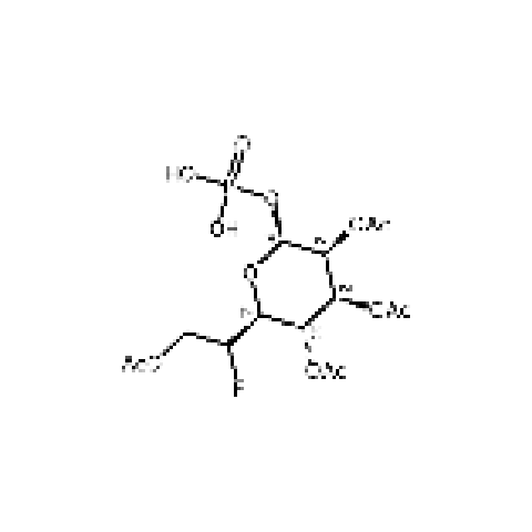 CC(=O)OCC(F)[C@H]1O[C@@H](OP(=O)(O)O)[C@@H](OC(C)=O)[C@@H](OC(C)=O)[C@@H]1OC(C)=O